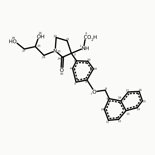 O=C(O)NC1(c2ccc(OCc3cccc4ccccc34)cc2)CCN(CC(O)CO)C1=O